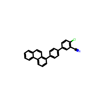 N#Cc1cc(-c2ccc(-c3cccc4c3ccc3ccccc34)cc2)ccc1Cl